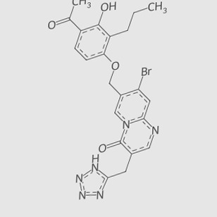 CCCc1c(OCc2cn3c(=O)c(Cc4nnn[nH]4)cnc3cc2Br)ccc(C(C)=O)c1O